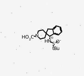 CC(C)(C)[S+]([O-])N[C@@H]1c2ccccc2CC12CCN(C(=O)O)CC2